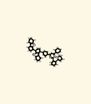 c1ccc(-c2cc(-c3ccc(-c4ccc(-c5cccc6c5oc5ccccc56)c5oc6ccccc6c45)cc3)nc(-c3ccccc3-c3ccccn3)n2)cc1